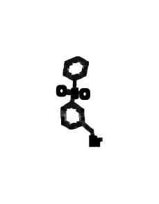 O=S(=O)(c1ccccc1)c1cccc(CBr)c1